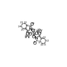 CC(C)[O][Ti]([O]C(C)C)([O]N1C(=O)c2ccccc2C1=O)[O]N1C(=O)c2ccccc2C1=O